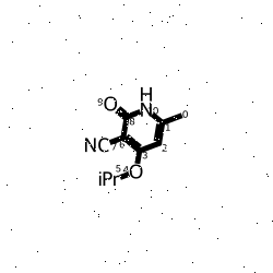 Cc1cc(OC(C)C)c(C#N)c(=O)[nH]1